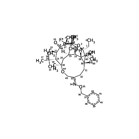 CC[C@H]1OC(=O)[C@@](C)(F)C(=O)[C@H](C)[C@@H](C(C)(C)C)[C@@]2(C)C[C@@H](C)/C(=N\C(C)=O)[C@H](C)[C@@H](CC/C(=N\OCc3ccccc3)CO2)[C@]1(C)O